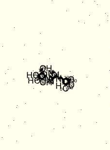 COc1cc(CNc2ncnc3c2ncn3C2O[C@H](CO)[C@@H](O)[C@H](O)[C@H]2O)cc(OC)c1OC